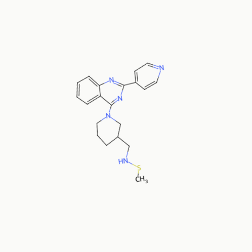 CSNCC1CCCN(c2nc(-c3ccncc3)nc3ccccc23)C1